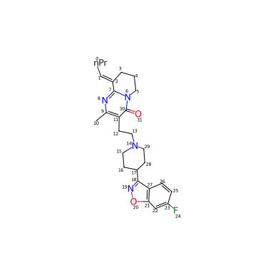 CCCC=C1CCCn2c1nc(C)c(CCN1CCC(c3noc4cc(F)ccc34)CC1)c2=O